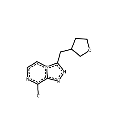 Clc1nccn2c(CC3CCOC3)nnc12